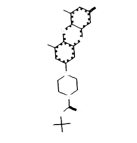 Cc1cc(=O)cc2sc3cc(N4CCN(C(=O)OC(C)(C)C)CC4)cc(C)c3nc1-2